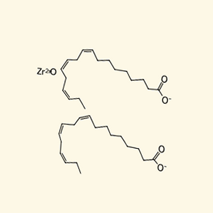 CC/C=C\C/C=C\C/C=C\CCCCCCCC(=O)[O-].CC/C=C\C/C=C\C/C=C\CCCCCCCC(=O)[O-].[O]=[Zr+2]